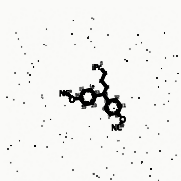 CC(C)CCCC(c1ccc(OC#N)cc1)c1ccc(OC#N)cc1